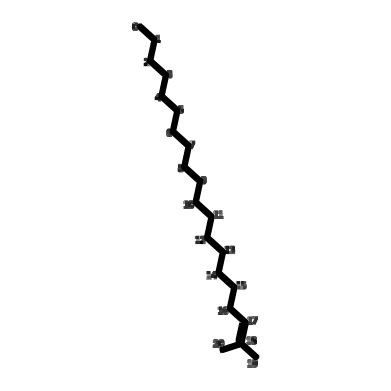 CCCCCCCCCCCCCCCCCC=C(C)C